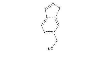 N#CCc1ccc2ccsc2c1